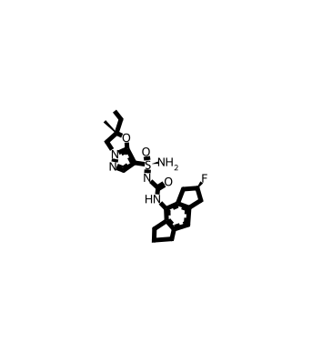 CC[C@@]1(C)Cn2ncc([S@@](N)(=O)=NC(=O)Nc3c4c(cc5c3C[C@@H](F)C5)CCC4)c2O1